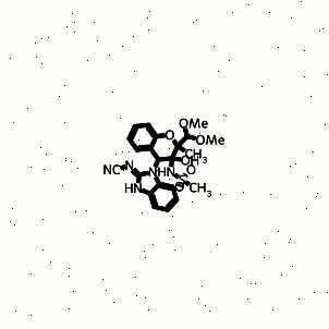 COC(OC)C1(C)Oc2ccccc2C(n2c(=NC#N)[nH]c3ccccc32)C1(O)NS(C)(=O)=O